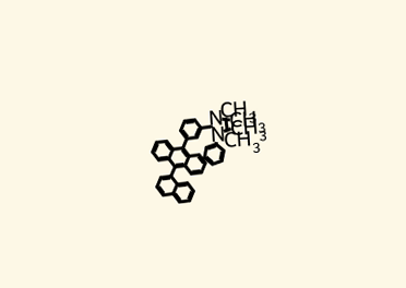 CC1(C)N=C(c2cccc(-c3c4ccccc4c(-c4cccc5ccccc45)c4ccccc34)c2)N(c2ccccc2)C1(C)C